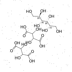 O=C(O)C(O)C(O)C(=O)O.O=C(O)C(O)C(O)C(=O)O.OC[C@@H](O)[C@@H](O)[C@H](O)[C@@H](O)CO